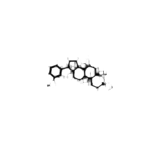 COc1cccc(C2CC[C@H]3[C@@H]4[C@@H](C)C[C@H]5N(C)C(=O)CC[C@]5(C)[C@H]4CC[C@]23C)c1